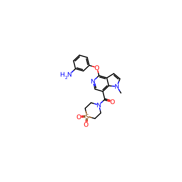 Cn1ccc2c(Oc3cccc(N)c3)ncc(C(=O)N3CCS(=O)(=O)CC3)c21